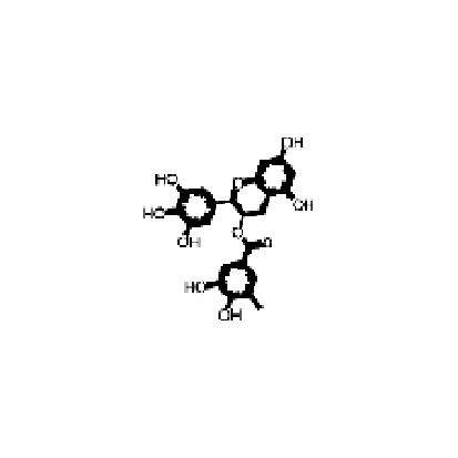 Cc1cc(C(=O)O[C@@H]2Cc3c(O)cc(O)cc3O[C@@H]2c2cc(O)c(O)c(O)c2)cc(O)c1O